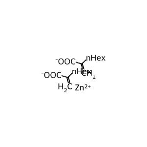 C=C(CCCCCC)C(=O)[O-].C=C(CCCCCC)C(=O)[O-].[Zn+2]